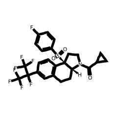 O=C(C1CC1)N1CC[C@@]2(S(=O)(=O)c3ccc(F)cc3)c3ccc(C(F)(C(F)(F)F)C(F)(F)F)cc3CC[C@@H]12